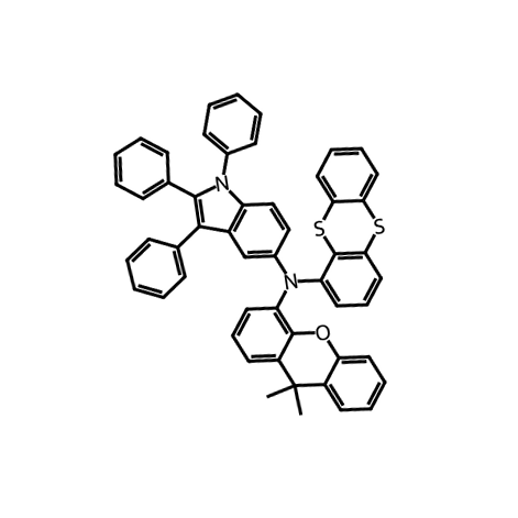 CC1(C)c2ccccc2Oc2c(N(c3ccc4c(c3)c(-c3ccccc3)c(-c3ccccc3)n4-c3ccccc3)c3cccc4c3Sc3ccccc3S4)cccc21